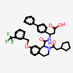 O=C(O)CC(NC(=O)C1c2cc(OCc3cccc(C(F)(F)F)c3)ccc2CCN1C(=O)CC1CCCC1)c1ccc(-c2ccccc2)cc1